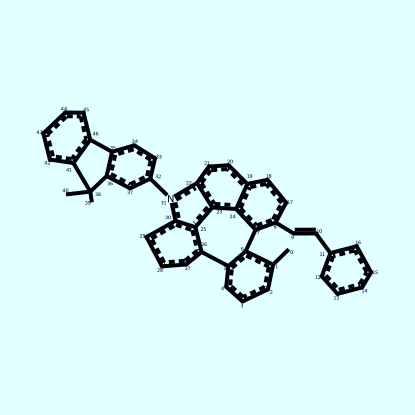 Cc1cccc2c1-c1c(/C=C/c3ccccc3)ccc3ccc4c(c13)c1c-2cccc1n4-c1ccc2c(c1)C(C)(C)c1ccccc1-2